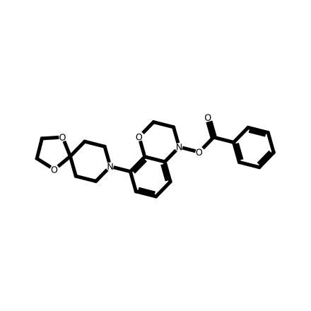 O=C(ON1CCOc2c(N3CCC4(CC3)OCCO4)cccc21)c1ccccc1